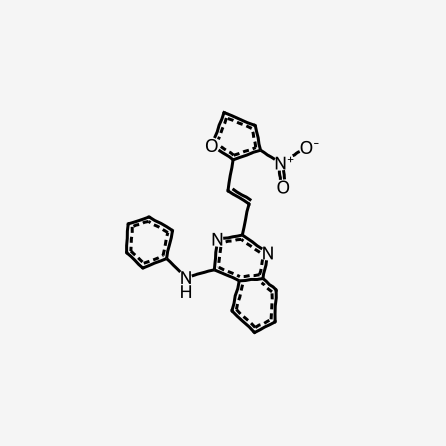 O=[N+]([O-])c1ccoc1/C=C/c1nc(Nc2ccccc2)c2ccccc2n1